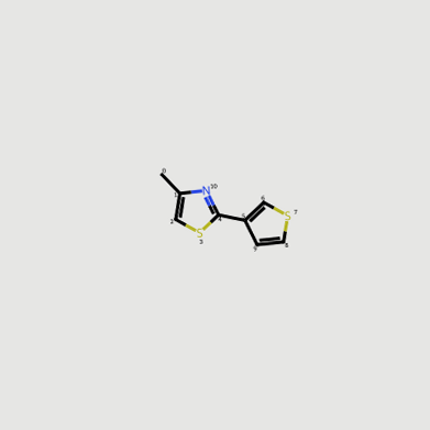 Cc1csc(-c2[c]scc2)n1